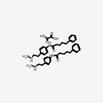 NNCCc1ccc(NC(=O)CCCCc2ccccc2)cc1.NNCCc1ccc(NC(=O)CCCCc2ccccc2)cc1.O=C(O)C(=O)O